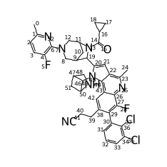 Cc1ccc(F)c(N2CC3CC(C2)N(C(=O)C2CC2)C3c2cc3c(C)nc4c(F)c(-c5cccc(Cl)c5Cl)c(CCC#N)cc4c3n2C2C3CNC2C3)n1